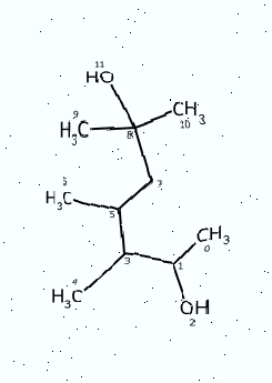 CC(O)C(C)C(C)CC(C)(C)O